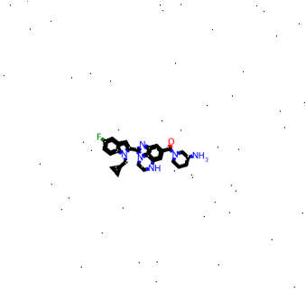 NC1CCCN(C(=O)c2cc3c4c(c2)nc(-c2cc5cc(F)ccc5n2CC2CC2)n4CCN3)C1